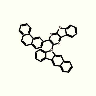 c1ccc2cc3c(cc2c1)c1ccccc1n3-c1nc2c(nc1-c1ccc3ccc4ccccc4c3c1)sc1ccccc12